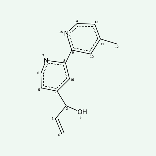 C=CC(O)c1ccnc(-c2cc(C)ccn2)c1